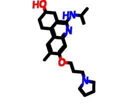 Cc1cc2c3c(c(NC(C)C)nc2cc1OCCCN1CCCC1)CC(O)CC3